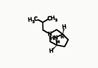 CC(C)CN1C[C@H]2CC[C@@H](C1)N2